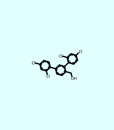 OCc1ccc(-c2ccc(Cl)cc2Cl)cc1-c1ccc(Cl)cc1Cl